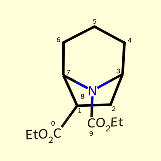 CCOC(=O)C1CC2CCCC1N2C(=O)OCC